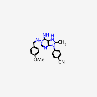 COc1ccc(/C=N\n2cnc3c(c2=N)NC(C)N3c2ccc(C#N)cc2)cc1